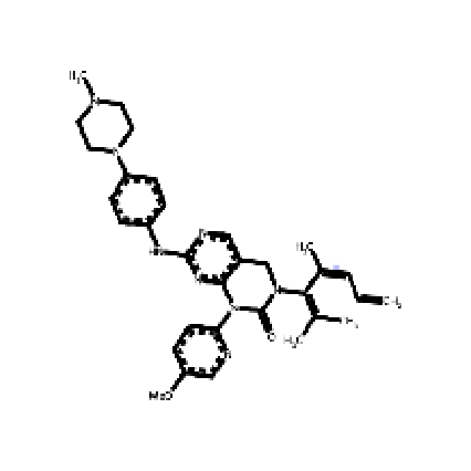 C=C/C=C(/C)C(=C(C)C)N1Cc2cnc(Nc3ccc(N4CCN(C)CC4)cc3)nc2N(c2ccc(OC)cn2)C1=O